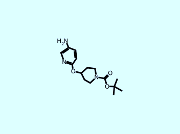 CC(C)(C)OC(=O)N1CCC(Oc2ccc(N)cn2)CC1